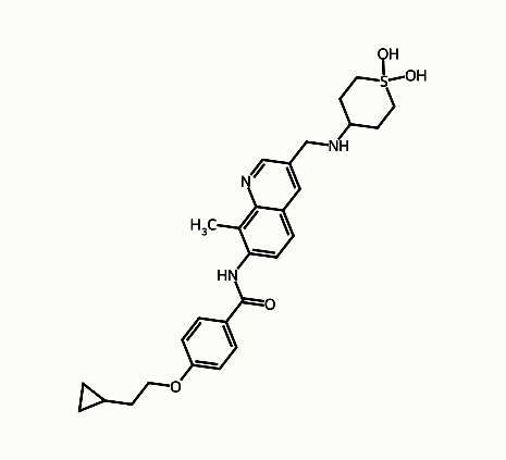 Cc1c(NC(=O)c2ccc(OCCC3CC3)cc2)ccc2cc(CNC3CCS(O)(O)CC3)cnc12